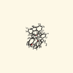 Cc1cccc(C)c1-c1c2ccccc2c(-c2cccc3sc4cccc(-c5c6ccccc6c(-c6ccccc6)c6ccccc56)c4c23)c2ccccc12